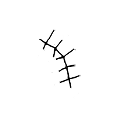 CC(F)(C(F)(F)F)C1(F)OC1(C)C(F)(F)C(F)(F)C(F)(F)F